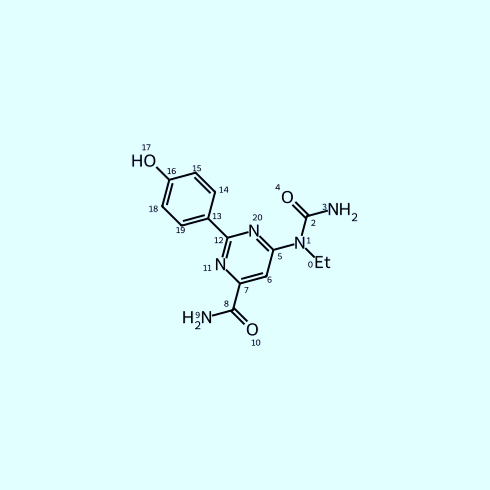 CCN(C(N)=O)c1cc(C(N)=O)nc(-c2ccc(O)cc2)n1